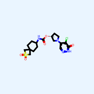 O=C(NC1CCC2(CC1)CS(=O)(=O)C2)O[C@@H]1CCN(c2cn[nH]c(=O)c2Cl)C1